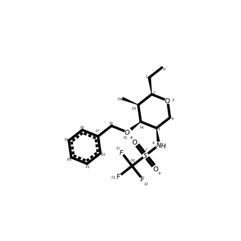 CC[C@H]1OC[C@@H](NS(=O)(=O)C(F)(F)F)[C@@H](OCc2ccccc2)[C@H]1C